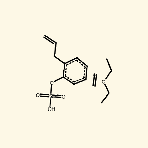 C=C.C=CCc1ccccc1OS(=O)(=O)O.CCOCC